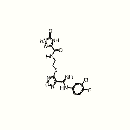 N=C(Nc1ccc(F)c(Cl)c1)c1nonc1SCCNC(=O)c1n[nH]c(=O)[nH]1